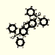 O=P(c1ccccc1)(c1ccccc1)c1ccc2c(c1)oc1cc(P(=O)(c3ccccc3)c3ccccc3)ccc12